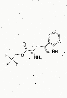 N[C@@H](Cc1c[nH]c2ncccc12)C(=O)OCC(F)(F)F